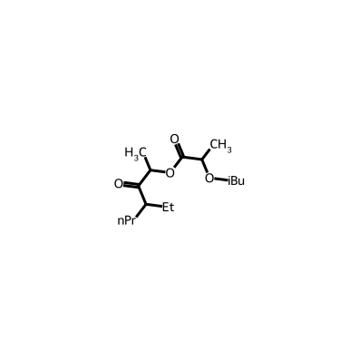 CCCC(CC)C(=O)C(C)OC(=O)C(C)OC(C)CC